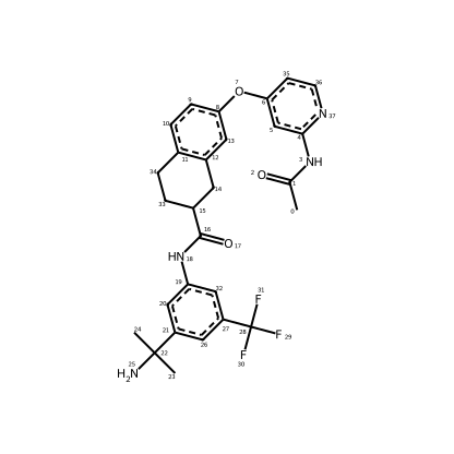 CC(=O)Nc1cc(Oc2ccc3c(c2)CC(C(=O)Nc2cc(C(C)(C)N)cc(C(F)(F)F)c2)CC3)ccn1